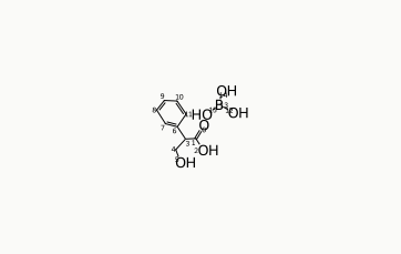 O=C(O)C(CO)c1ccccc1.OB(O)O